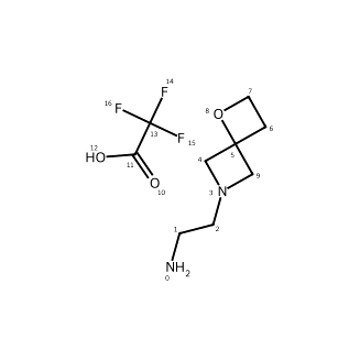 NCCN1CC2(CCO2)C1.O=C(O)C(F)(F)F